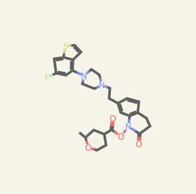 CC1CC(C(=O)ON2C(=O)CCc3ccc(CCN4CCN(c5cc(F)cc6sccc56)CC4)cc32)CCO1